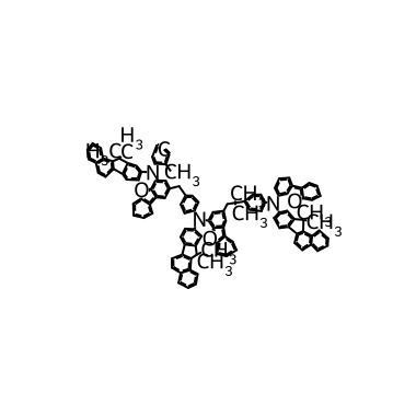 Cc1ccccc1N(c1ccc2c(c1)C(C)(C)c1c-2ccc2ccccc12)c1cc(Cc2ccc(N(c3ccc4c(c3)C(C)(C)c3c-4ccc4ccccc34)c3cc(CC(C)(C)c4ccc(N(c5ccc6c(c5)C(C)(C)c5c-6ccc6ccccc56)c5cccc6c5oc5ccccc56)cc4)cc4c3oc3ccccc34)cc2)cc2c1oc1ccccc12